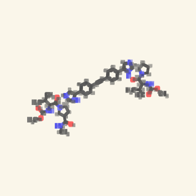 CNC(=O)C1C[C@@H](c2ncc(-c3ccc(C#Cc4ccc(-c5cnc([C@@H]6CCCN6C(=O)[C@@H](NC(=O)OC)C(C)C)[nH]5)cc4)cc3)[nH]2)N(C(=O)[C@@H](NC(=O)OC)C(C)C)C1